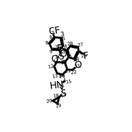 O=S(=O)(c1ccc(C(F)(F)F)cc1)[C@@]12CCC[C@@H](CNSC3CC3)C1COc1c(F)ccc(F)c12